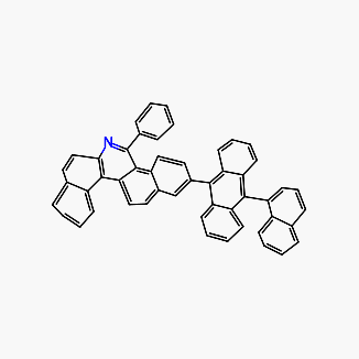 c1ccc(-c2nc3ccc4ccccc4c3c3ccc4cc(-c5c6ccccc6c(-c6cccc7ccccc67)c6ccccc56)ccc4c23)cc1